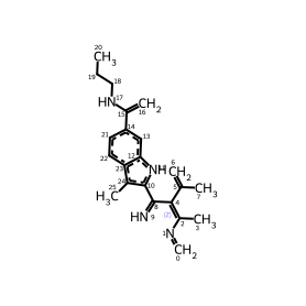 C=N/C(C)=C(/C(=C)C)C(=N)c1[nH]c2cc(C(=C)NCCC)ccc2c1C